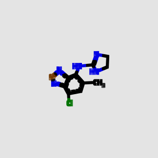 Cc1cc(Cl)c2nsnc2c1NC1=NCCN1